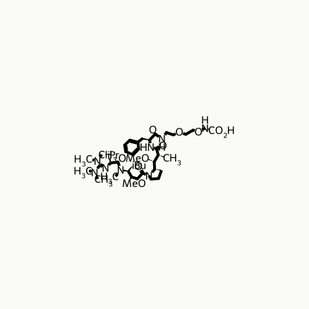 CC[C@H](C)[C@@H]([C@@H](CC(=O)N1CCC[C@H]1[C@H](OC)[C@@H](C)C(=O)N[C@@H](Cc1ccccc1)C(=O)NCCOCCONC(=O)O)OC)N(C)C(=O)[C@@H](N=C(N(C)C)N(C)C)C(C)C